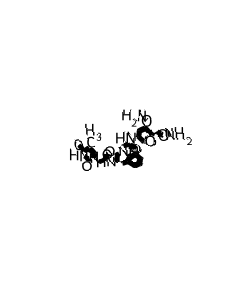 Cc1cn(CC(=O)N[C@@H](Cc2ccccc2)C(=O)NCC(=O)N[C@H]2CO[C@H](CON)[C@@H](ON)C2)c(=O)[nH]c1=O